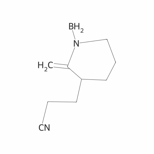 BN1CCCC(CCC#N)C1=C